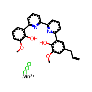 C=CCc1cc(OC)c(O)c(-c2cccc(-c3cccc(-c4cccc(OC)c4O)n3)n2)c1.[Cl-].[Cl-].[Cl-].[Mn+3]